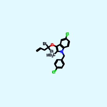 C=CCC(CC)(CC)Oc1c(C(=O)O)n(Cc2ccc(Cl)cc2)c2ccc(Cl)cc12